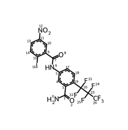 NC(=O)c1cc(NC(=O)c2cc([N+](=O)[O-])ccc2I)ccc1C(F)(F)C(F)(F)C(F)(F)F